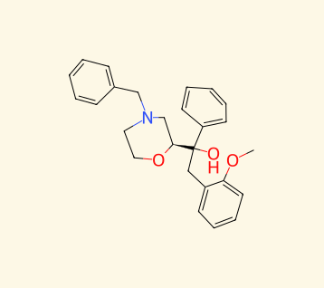 COc1ccccc1CC(O)(c1ccccc1)[C@@H]1CN(Cc2ccccc2)CCO1